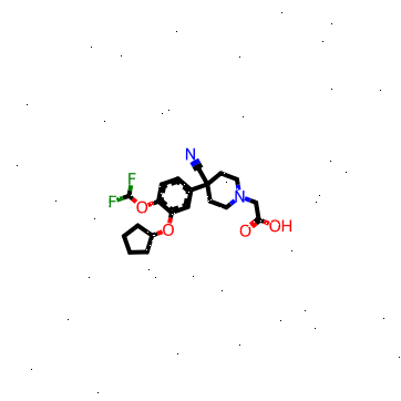 N#CC1(c2ccc(OC(F)F)c(OC3CCCC3)c2)CCN(CC(=O)O)CC1